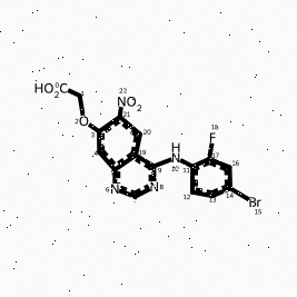 O=C(O)COc1cc2ncnc(Nc3ccc(Br)cc3F)c2cc1[N+](=O)[O-]